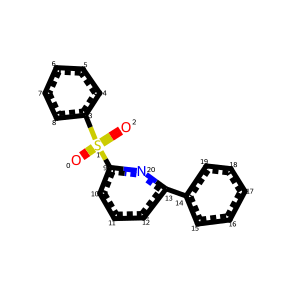 O=S(=O)(c1ccccc1)c1cc[c]c(-c2ccccc2)n1